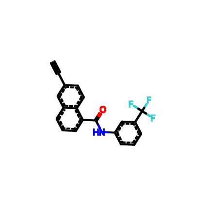 C#Cc1ccc2c(C(=O)Nc3cccc(C(F)(F)F)c3)cccc2c1